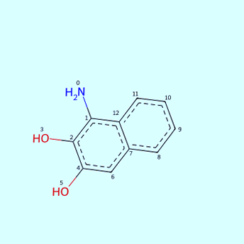 Nc1c(O)c(O)cc2ccccc12